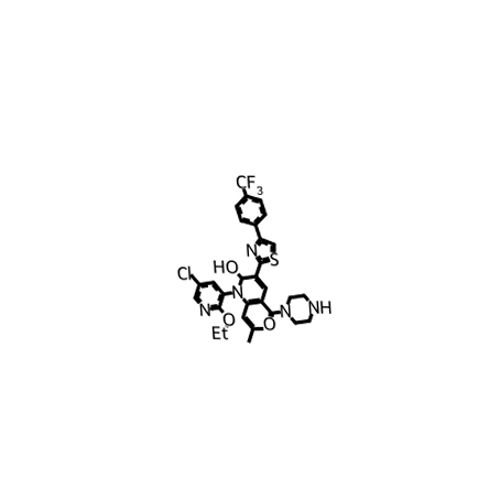 CCOc1ncc(Cl)cc1N1C(C=C(C)C)=C(C(=O)N2CCNCC2)C=C(c2nc(-c3ccc(C(F)(F)F)cc3)cs2)C1O